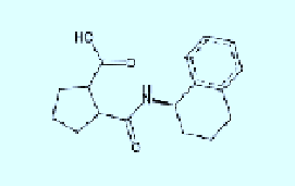 O=C(O)C1CCCC1C(=O)N[C@@H]1CCCc2ccccc21